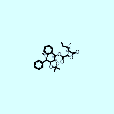 CC[C@H](C)[C@@H]1C(=O)OC1C(=O)O[C@H](c1ccccc1)[C@@H]1OC(C)(C)OC1C(OC)c1ccccc1